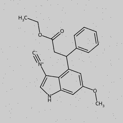 [C-]#[N+]c1c[nH]c2cc(OC)cc(C(CC(=O)OCC)c3ccccc3)c12